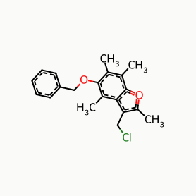 Cc1oc2c(C)c(C)c(OCc3ccccc3)c(C)c2c1CCl